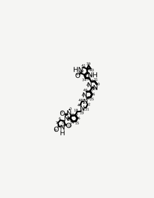 Cn1c(=O)n(C2CCC(=O)NC2=O)c2cccc(CCN3CCN(c4ccc(-c5nccc(-c6cc7c([nH]6)C6(CC6)CNC7=O)n5)cn4)CC3)c21